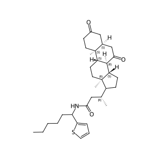 CCCCCC(NC(=O)C[C@@H](C)C1CC[C@H]2[C@@H]3C(=O)C[C@@H]4CC(=O)CC[C@]4(C)[C@H]3CC[C@]12C)c1cccs1